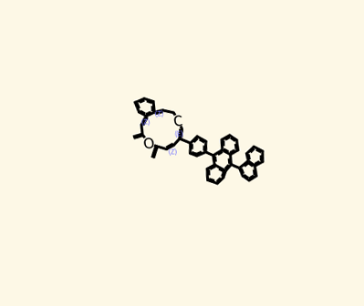 C=C1/C=C\C(c2ccc(-c3c4ccccc4c(-c4cccc5ccccc45)c4ccccc34)cc2)=C/CC/C=c2/cccc/c2=C/C(=C)O1